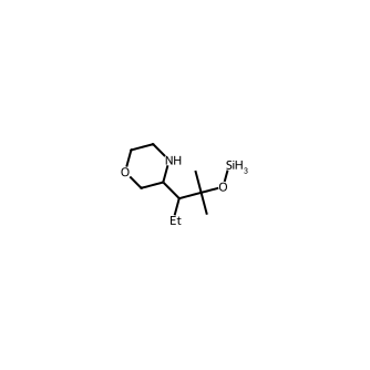 CCC(C1COCCN1)C(C)(C)O[SiH3]